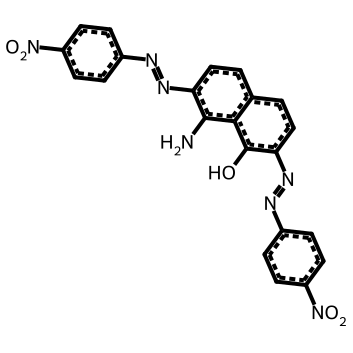 Nc1c(N=Nc2ccc([N+](=O)[O-])cc2)ccc2ccc(N=Nc3ccc([N+](=O)[O-])cc3)c(O)c12